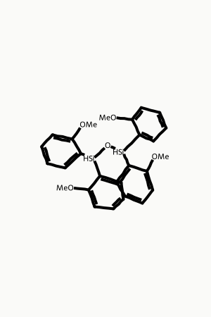 COc1ccccc1[SiH](O[SiH](c1ccccc1OC)c1ccccc1OC)c1ccccc1OC